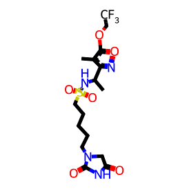 Cc1c(C(C)NS(=O)(=O)CCCCCN2CC(=O)NC2=O)noc1OCC(F)(F)F